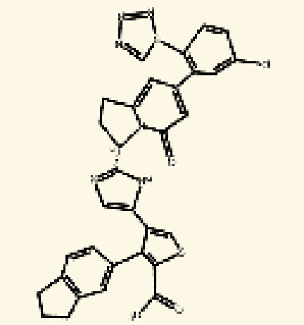 O=C(O)c1scc(-c2cnc([C@@H]3CCc4cc(-c5cc(Cl)ccc5-n5cnnn5)cc(=O)n43)[nH]2)c1-c1ccc2c(c1)CCC2